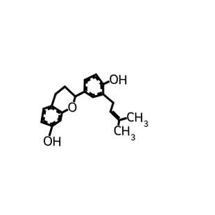 CC(C)=CCc1cc(C2CCc3ccc(O)cc3O2)ccc1O